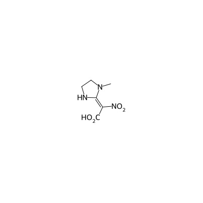 CN1CCNC1=C(C(=O)O)[N+](=O)[O-]